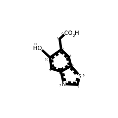 O=C(O)Cc1cc2scnc2cc1O